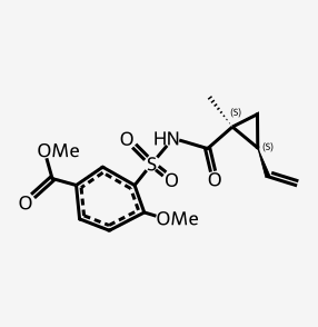 C=C[C@@H]1C[C@]1(C)C(=O)NS(=O)(=O)c1cc(C(=O)OC)ccc1OC